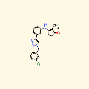 CC1=C(Nc2cccc(-c3cn(Cc4cccc(Cl)c4)nn3)c2)CCC1=O